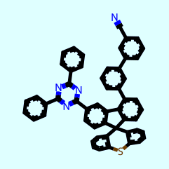 N#Cc1cccc(-c2cccc(-c3cccc4c3-c3cc(-c5nc(-c6ccccc6)nc(-c6ccccc6)n5)ccc3C43c4ccccc4Sc4ccccc43)c2)c1